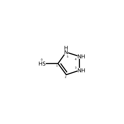 SC1=CNNN1